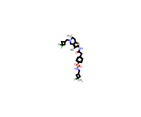 CC1Cc2sc(NC(=O)Cc3ccc(S(=O)(=O)NCC4CC(C)(F)C4)cc3)c(C#N)c2CN1CC1CC(F)(F)C1